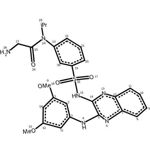 COc1cc(Nc2nc3ccccc3nc2NS(=O)(=O)c2cccc(N(C(=O)CN)C(C)C)c2)cc(OC)c1